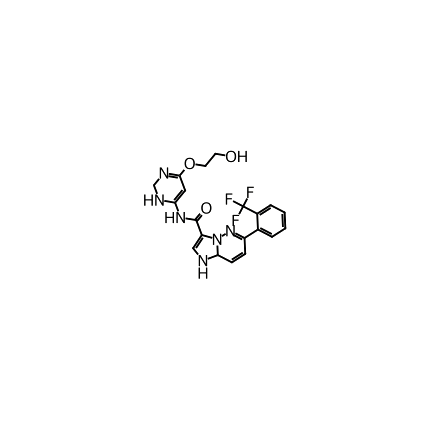 O=C(NC1=CC(OCCO)=NCN1)C1=CNC2C=CC(c3ccccc3C(F)(F)F)=NN12